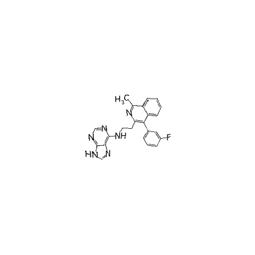 Cc1nc(CCNc2ncnc3[nH]cnc23)c(-c2cccc(F)c2)c2ccccc12